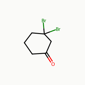 O=C1CCCC(Br)(Br)C1